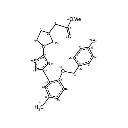 COC(=O)CC1CCN(c2nc(-c3cc(C)ccc3OCc3ccc(Br)cc3)cs2)C1